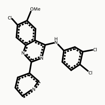 COc1cc2c(Nc3ccc(Cl)c(Cl)c3)nc(-c3cccnc3)nc2cc1Cl